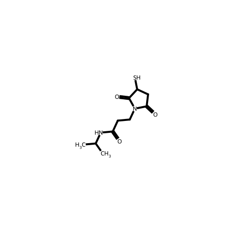 CC(C)NC(=O)CCN1C(=O)CC(S)C1=O